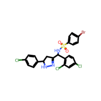 O=S(=O)(NC(C1=NNC(c2ccc(Cl)cc2)C1)c1ccc(Cl)cc1Cl)c1ccc(Br)cc1